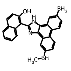 Bc1ccc2c3ccc(BC)cc3c3nc(-c4c(O)ccc5ccccc45)[nH]c3c2c1